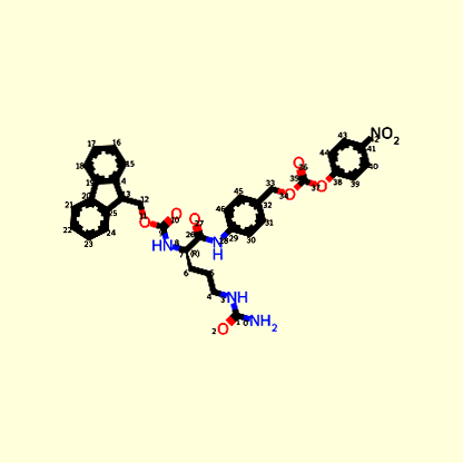 NC(=O)NCCC[C@@H](NC(=O)OCC1c2ccccc2-c2ccccc21)C(=O)Nc1ccc(COC(=O)Oc2ccc([N+](=O)[O-])cc2)cc1